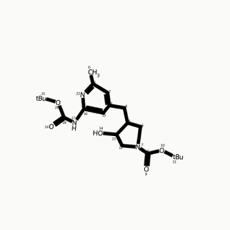 Cc1cc(CC2CN(C(=O)OC(C)(C)C)CC2O)cc(NC(=O)OC(C)(C)C)n1